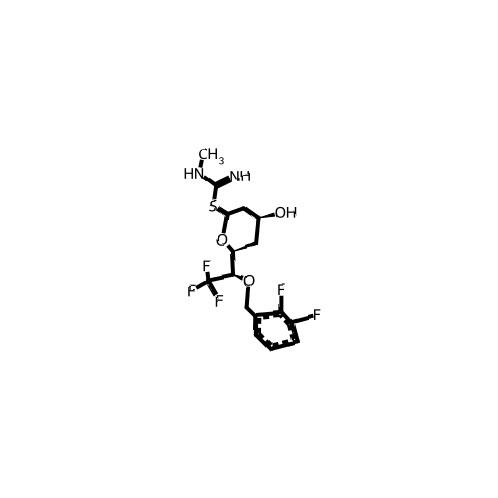 CNC(=N)SC1C[C@@H](O)C[C@@H]([C@@H](OCc2cccc(F)c2F)C(F)(F)F)O1